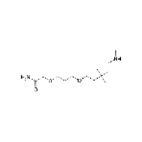 CNCCC(C)(C)CCOCCCOCC(N)=O